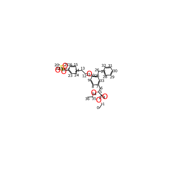 CCOC(=O)C(Cc1ccc(OCCc2ccc(OS(C)(=O)=O)cc2)c(Cc2ccccc2)c1)OCC